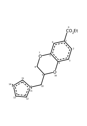 CCOC(=O)c1ccc2c(c1)OCC(Cn1ccnc1)O2